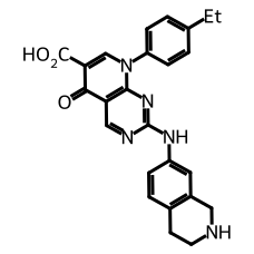 CCc1ccc(-n2cc(C(=O)O)c(=O)c3cnc(Nc4ccc5c(c4)CNCC5)nc32)cc1